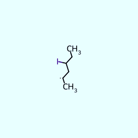 C[CH]CC(I)CC